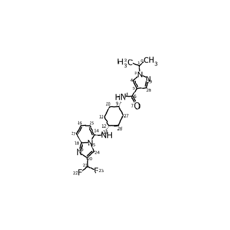 CC(C)n1cc(C(=O)N[C@H]2CC[C@@H](Nc3cccc4nc(C(F)F)cn34)CC2)cn1